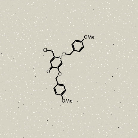 COc1ccc(COc2cn(OCc3ccc(OC)cc3)c(CCl)cc2=O)cc1